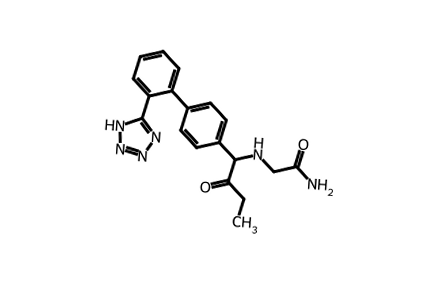 CCC(=O)C(NCC(N)=O)c1ccc(-c2ccccc2-c2nnn[nH]2)cc1